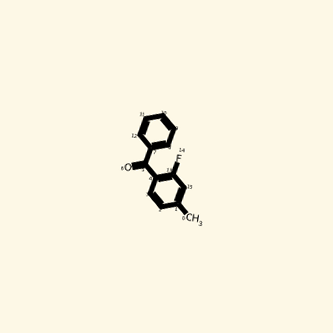 Cc1ccc(C(=O)c2ccccc2)c(F)c1